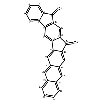 O=c1c2ccccc2c2cc3c(cc12)c(=O)c1cc2cc4ccccc4cc2cc13